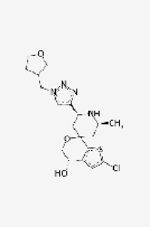 C[C@H]1CC2(C[C@@H](c3cn(CC4CCOC4)nn3)N1)OC[C@@H](O)c1cc(Cl)sc12